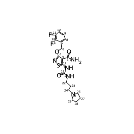 NC(=O)c1c(OCc2cccc(F)c2F)nsc1NC(=O)NCCCN1CCCC1